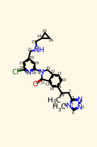 C[C@H](Cc1nncn1C)c1ccc2c(c1)C(=O)N(c1cc(CNCC3CC3)cc(Cl)n1)C2